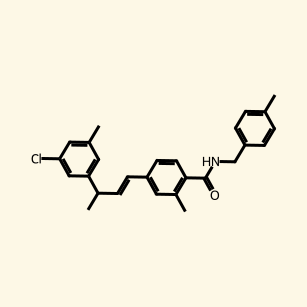 Cc1ccc(CNC(=O)c2ccc(/C=C/C(C)c3cc(C)cc(Cl)c3)cc2C)cc1